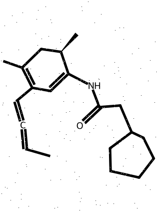 CC=C=CC1=C(C)C[C@@H](C)C(NC(=O)CC2CCCCC2)=C1